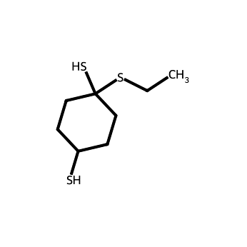 CCSC1(S)CCC(S)CC1